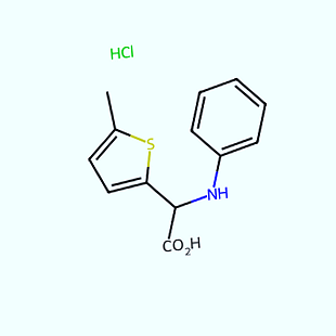 Cc1ccc(C(Nc2ccccc2)C(=O)O)s1.Cl